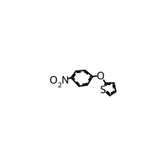 O=[N+]([O-])c1ccc(Oc2cccs2)cc1